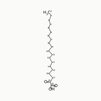 CCCCCCCCCCCCCCCCCCC([O])C(=O)O